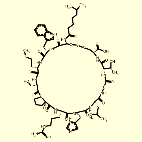 CSCC[C@@H]1NC(=O)[C@H](Cc2c[nH]c3ccccc23)NC(=O)[C@@H](NC(=O)CCCCC(C)C)CSSC[C@@H](C(=O)O)NC(=O)[C@H]([C@@H](C)O)NC(=O)CNC(=O)[C@H](CC(C)C)NC(=O)[C@H](Cc2cnc[nH]2)NC(=O)[C@H](CCCNC(=N)N)NC(=O)[C@@H]2CCCN2C(=O)[C@H](CO)NC1=O